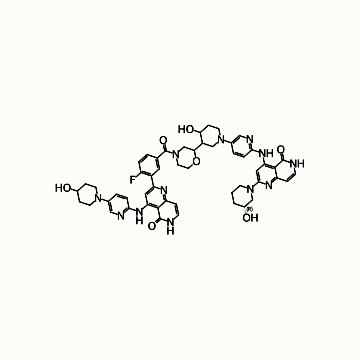 O=C(c1ccc(F)c(-c2cc(Nc3ccc(N4CCC(O)CC4)cn3)c3c(=O)[nH]ccc3n2)c1)N1CCOC(C2CN(c3ccc(Nc4cc(N5CCC[C@@H](O)C5)nc5cc[nH]c(=O)c45)nc3)CCC2O)C1